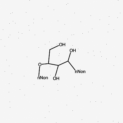 CCCCCCCCCOC(CO)C(O)C(O)CCCCCCCCC